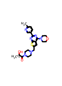 Cc1ccc(-c2nc(N3CCOCC3)c3cc(CN4CCN(C(=O)[C@H](C)O)CC4)sc3n2)cn1